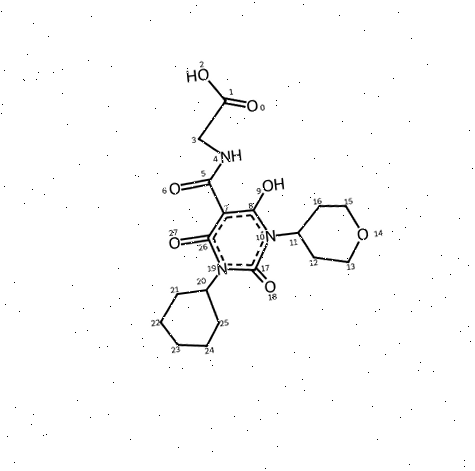 O=C(O)CNC(=O)c1c(O)n(C2CCOCC2)c(=O)n(C2CCCCC2)c1=O